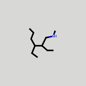 CCCC(CC)C(CC)CNC